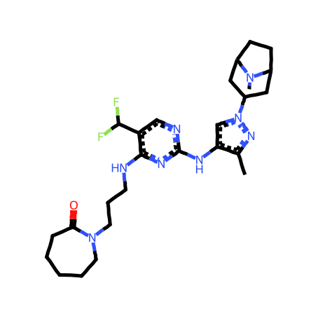 Cc1nn(C2CC3CCC(C2)N3C)cc1Nc1ncc(C(F)F)c(NCCCN2CCCCCC2=O)n1